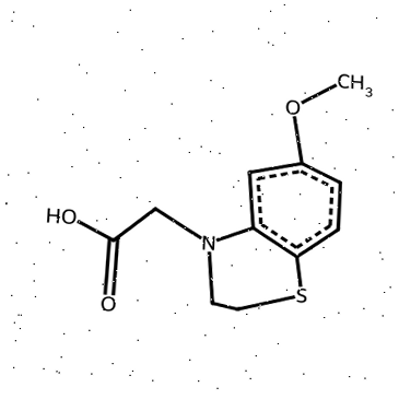 COc1ccc2c(c1)N(CC(=O)O)CCS2